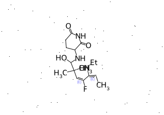 C/C=C(NCC)\C(F)=C/C(C)(C)C(O)NC1CCC(=O)NC1=O